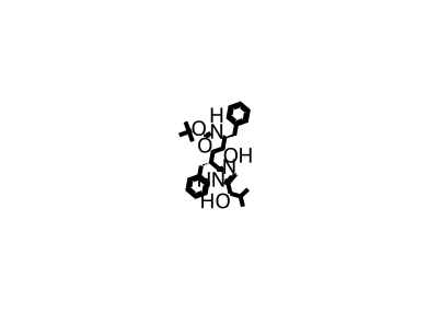 CC(C)C(O)c1cnc([C@H](Cc2ccccc2)C[C@H](O)[C@H](Cc2ccccc2)NC(=O)OC(C)(C)C)[nH]1